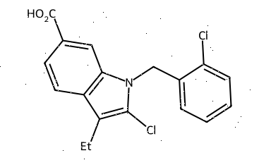 CCc1c(Cl)n(Cc2ccccc2Cl)c2cc(C(=O)O)ccc12